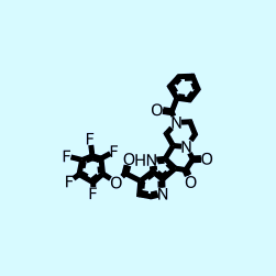 O=C1C(=O)N2CCN(C(=O)c3ccccc3)CC2c2[nH]c3c(C(=O)Oc4c(F)c(F)c(F)c(F)c4F)ccnc3c21